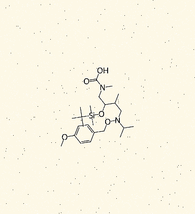 COc1ccc(CON(CC(C)C(CN(C)C(=O)O)O[Si](C)(C)C(C)(C)C)C(C)C)cc1